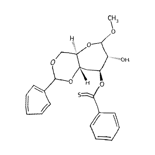 COC1O[C@@H]2COC(c3ccccc3)O[C@H]2[C@H](OC(=S)c2ccccc2)[C@H]1O